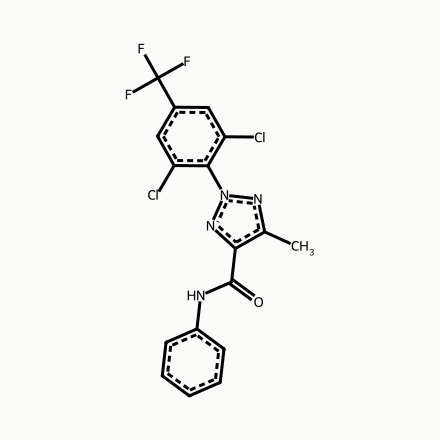 Cc1nn(-c2c(Cl)cc(C(F)(F)F)cc2Cl)nc1C(=O)Nc1ccccc1